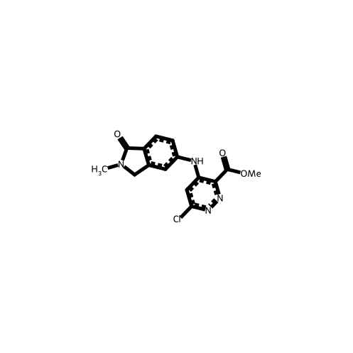 COC(=O)c1nnc(Cl)cc1Nc1ccc2c(c1)CN(C)C2=O